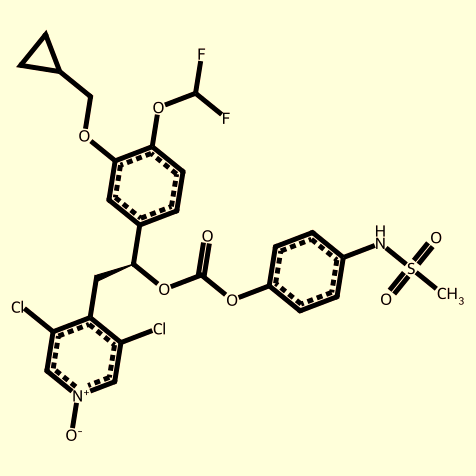 CS(=O)(=O)Nc1ccc(OC(=O)O[C@@H](Cc2c(Cl)c[n+]([O-])cc2Cl)c2ccc(OC(F)F)c(OCC3CC3)c2)cc1